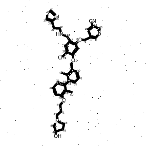 Cc1c(COc2cc(OCc3cncc(C#N)c3)c(CNCCc3cscn3)cc2Cl)cccc1-c1cccc(OCCCN2CCC(O)C2)c1C